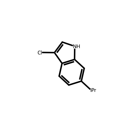 CC(C)c1ccc2c(Cl)c[nH]c2c1